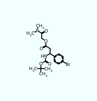 CN(C)C(=O)COC(=O)CC(NC(=O)OC(C)(C)C)c1ccc(Br)cc1